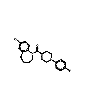 O=C(C1CCN(c2ncc(F)cn2)CC1)N1CCCCc2cc(Cl)ccc21